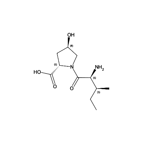 CC[C@H](C)[C@H](N)C(=O)N1C[C@H](O)C[C@H]1C(=O)O